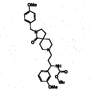 COc1ccc(CN2CCC3(CCN(CCC(NC(=O)OC(C)(C)C)c4cccc(OC)c4)CC3)C2=O)cc1